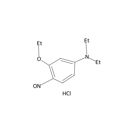 CCOc1cc(N(CC)CC)ccc1N=O.Cl